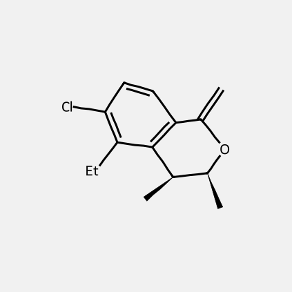 C=C1O[C@@H](C)[C@@H](C)c2c1ccc(Cl)c2CC